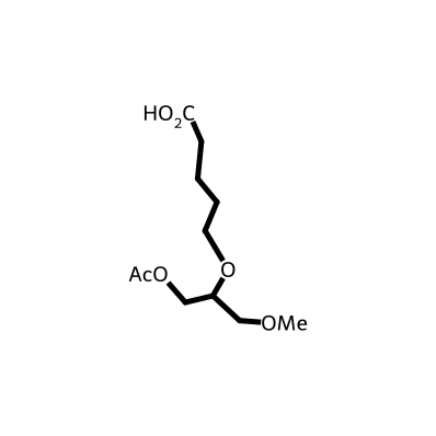 COCC(COC(C)=O)OCCCCC(=O)O